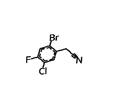 N#CCc1cc(Cl)c(F)cc1Br